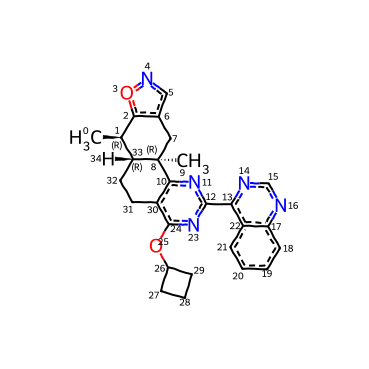 C[C@H]1c2oncc2C[C@@]2(C)c3nc(-c4ncnc5ccccc45)nc(OC4CCC4)c3CC[C@H]12